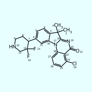 CC1(C)c2ccc(C3CCNCC3(F)F)cc2-n2c1nc(=O)c1c(Cl)cccc12